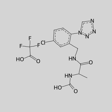 CC(NC(=O)O)C(=O)NCc1cc(Cl)ccc1-n1cnnn1.O=C(O)C(F)(F)F